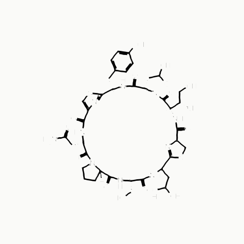 CC[C@H](C)[C@@H]1NC(=O)C2CSC(=N2)C(CC(C)C)NC(=O)[C@H](CO)NC(=O)[C@@H]2CCCN2C(=O)[C@H](CC(N)=O)NC(=O)c2csc(n2)[C@H](Cc2ccc(O)cc2)NC(=O)[C@H](CC(C)C)NC1=O